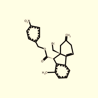 C=C1CC=C2c3cccc(C)c3[C@H](C(=O)OCc3ccc([N+](=O)[O-])cc3)[C@]2(CC(C)=O)C1